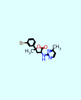 Cc1ccnc(NC2CC(C)(c3cccc(Br)c3)OC2=O)n1